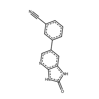 N#Cc1cccc(-c2cnc3[nH]c(=O)[nH]c3c2)c1